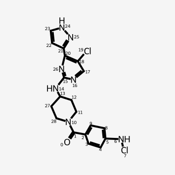 O=C(c1ccc(NCl)cc1)N1CCC(Nc2ncc(Cl)c(-c3cc[nH]n3)n2)CC1